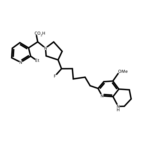 CCc1ncccc1C(C(=O)O)N1CCC(C(F)CCCCc2cc(OC)c3c(n2)NCCC3)C1